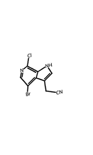 N#CCc1c[nH]c2c(Cl)ncc(Br)c12